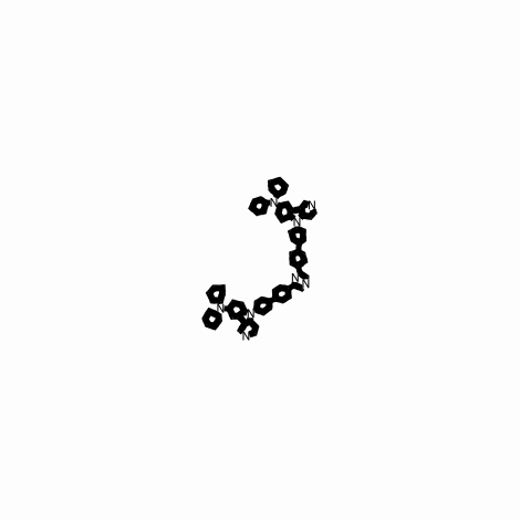 c1ccc(N(c2ccccc2)c2ccc3c(c2)c2cnccc2n3-c2ccc(-c3ccc(-c4cncc(-c5ccc(-c6ccc(-n7c8ccncc8c8cc(N(c9ccccc9)c9ccccc9)ccc87)cc6)cc5)n4)cc3)cc2)cc1